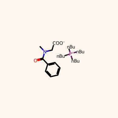 CCCC[P+](CCCC)(CCCC)CCCC.CN(CC(=O)[O-])C(=O)c1ccccc1